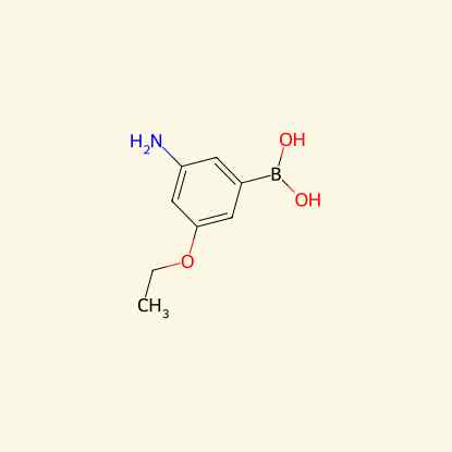 CCOc1cc(N)cc(B(O)O)c1